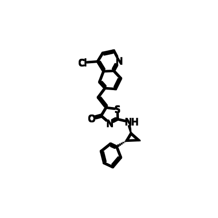 O=C1N=C(N[C@H]2C[C@@H]2c2ccccc2)S/C1=C\c1ccc2nccc(Cl)c2c1